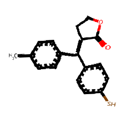 Cc1ccc(/C(=C2\CCOC2=O)c2ccc(S)cc2)cc1